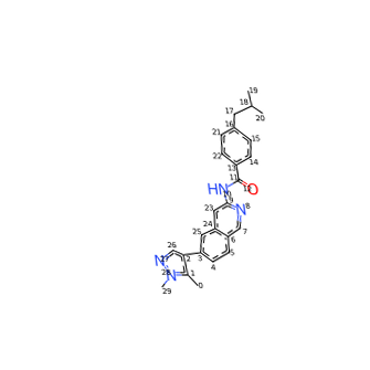 Cc1c(-c2ccc3cnc(NC(=O)c4ccc(CC(C)C)cc4)cc3c2)cnn1C